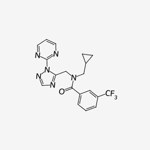 O=C(c1cccc(C(F)(F)F)c1)N(Cc1ncnn1-c1ncccn1)CC1CC1